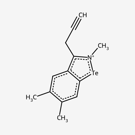 C#CCc1c2cc(C)c(C)cc2[te][n+]1C